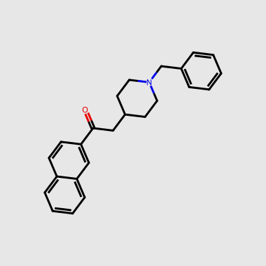 O=C(CC1CCN(Cc2ccccc2)CC1)c1ccc2ccccc2c1